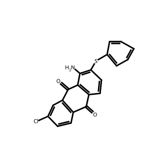 Nc1c(Sc2ccccc2)ccc2c1C(=O)c1cc(Cl)ccc1C2=O